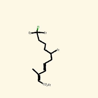 CCOC(=O)C=C(C)C=CCC(CC)CCCC(Cl)(CC)CC